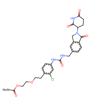 CNC(=O)OCCOCCc1ccc(NC(=O)NCc2ccc3c(c2)CN(C2CCC(=O)NC2=O)C3=O)cc1Cl